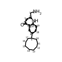 NCc1cc(=O)c2cc(C3CCCCCCCC3)ccc2[nH]1